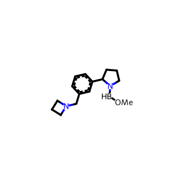 COBN1CCCC1c1cccc(CN2CCC2)c1